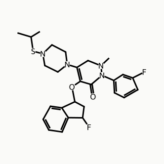 CC(C)SN1CCN(C2=C(OC3CC(F)c4ccccc43)C(=O)N(c3cccc(F)c3)N(C)C2)CC1